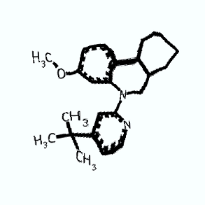 COc1ccc2c(c1)N(c1cc(C(C)(C)C)ccn1)CC1CCCCC21